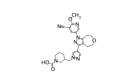 COc1ncc(-n2nc(-c3cnn(CC4CCCN(C(=O)O)C4)c3)c3c2CCOCC3)cc1C#N